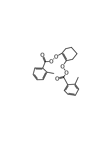 Cc1ccccc1C(=O)OOC1=C(OOC(=O)c2ccccc2C)CCCC1